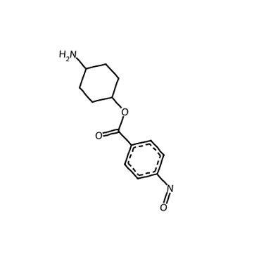 NC1CCC(OC(=O)c2ccc(N=O)cc2)CC1